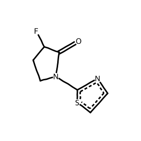 O=C1C(F)CCN1c1nccs1